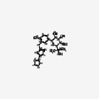 CC(C)(O)C1OC(c2ccc(Cl)c(Cc3ncc(-c4ccco4)s3)c2)C(O)C(O)C1O